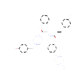 CC(=O)N1CCN(c2ccc(CN(C(=O)/C=C/c3ccc(C(F)(F)F)cc3)[C@@H](Cc3ccccc3)C(=O)N3CCN(Cc4ccc(OC(C)C)cc4)CC3)cc2)CC1